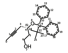 CC#CC[C@@H](CCO)O[Si](c1ccccc1)(c1ccccc1)C(C)(C)C